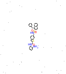 Nc1ccccc1NC(=O)c1cc2ccc(CNS(=O)(=O)c3ccc4ccccc4c3Cc3ccccc3)cc2s1